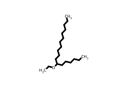 [CH2]COC(CCCCCC)CCCCCCCCCCC